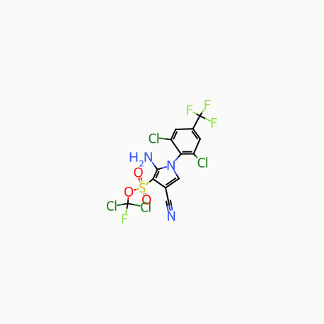 N#Cc1cn(-c2c(Cl)cc(C(F)(F)F)cc2Cl)c(N)c1S(=O)(=O)OC(F)(Cl)Cl